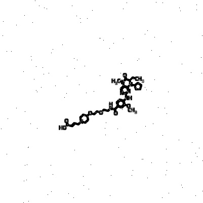 CC[C@@H]1C(=O)N(C)c2cnc(Nc3ccc(C(=O)NCCOCCOC4CCN(C/C=C/C(=O)O)CC4)cc3OC)nc2N1C1CCCC1